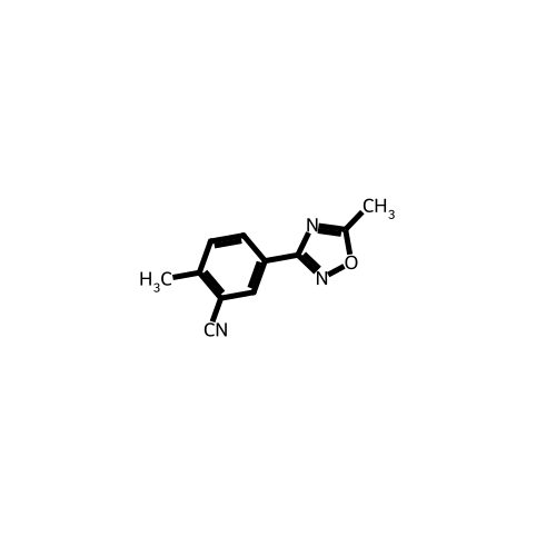 Cc1nc(-c2ccc(C)c(C#N)c2)no1